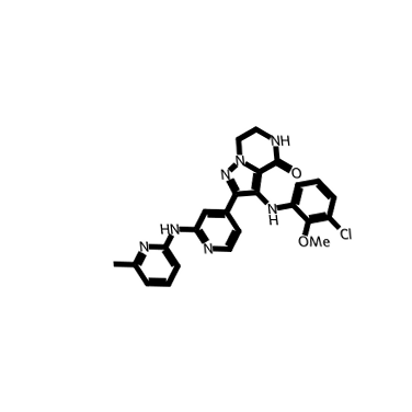 COc1c(Cl)cccc1Nc1c(-c2ccnc(Nc3cccc(C)n3)c2)nn2c1C(=O)NCC2